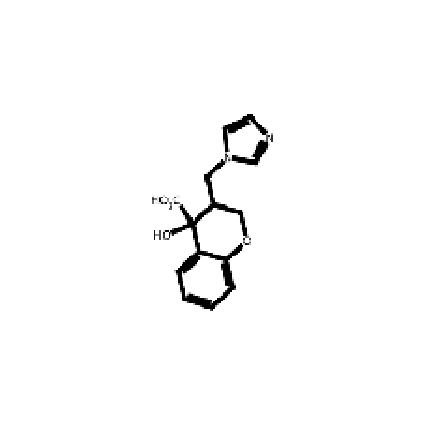 O=C(O)C1(O)c2ccccc2OCC1Cn1ccnc1